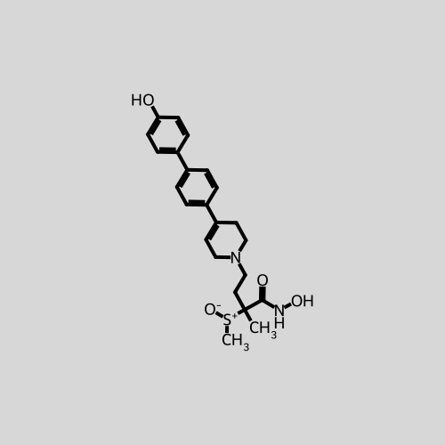 C[S+]([O-])C(C)(CCN1CC=C(c2ccc(-c3ccc(O)cc3)cc2)CC1)C(=O)NO